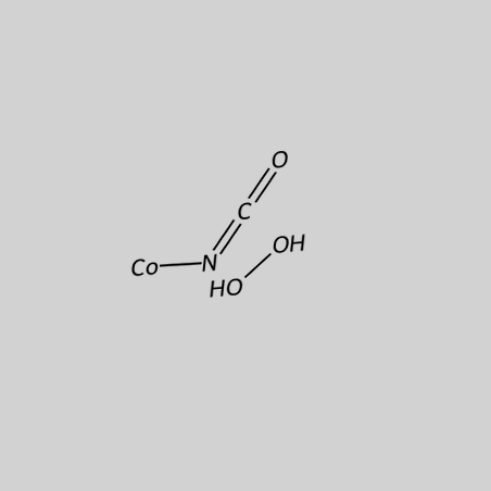 O=C=[N][Co].OO